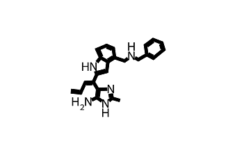 C=C/C=C(/c1cc2c(CNCc3ccccc3)cccc2[nH]1)c1nc(C)[nH]c1N